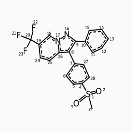 CS(=O)(=O)c1ccc(-c2c(-c3ccccc3)nn3cc(C(F)(F)F)ccc23)cc1